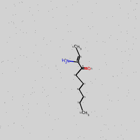 CC=C(N)C(=O)CCCCCC